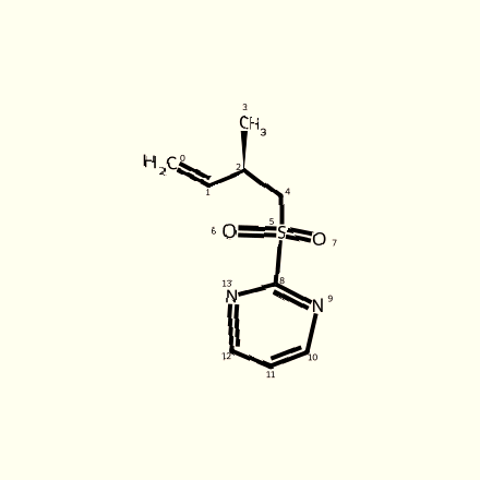 C=C[C@@H](C)CS(=O)(=O)c1ncccn1